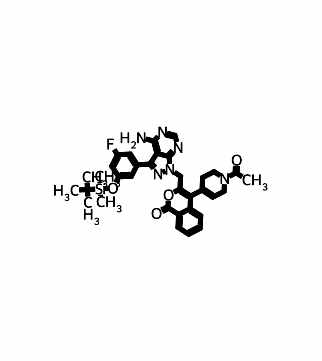 CC(=O)N1CC=C(c2c(Cn3nc(-c4cc(F)cc(O[Si](C)(C)C(C)(C)C)c4)c4c(N)ncnc43)oc(=O)c3ccccc23)CC1